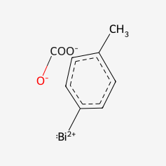 Cc1cc[c]([Bi+2])cc1.O=C([O-])[O-]